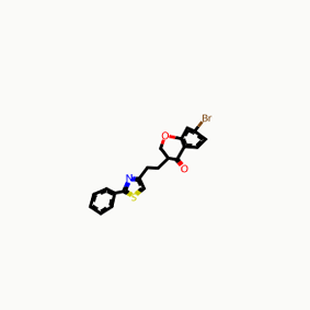 O=C1c2ccc(Br)cc2OCC1CCc1csc(-c2ccccc2)n1